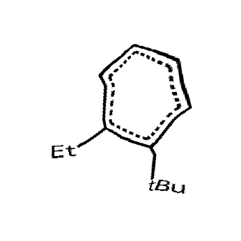 CCc1ccccc1C(C)(C)C